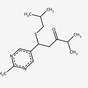 Cc1ncc(C(CC(=O)C(C)C)SCC(C)C)cn1